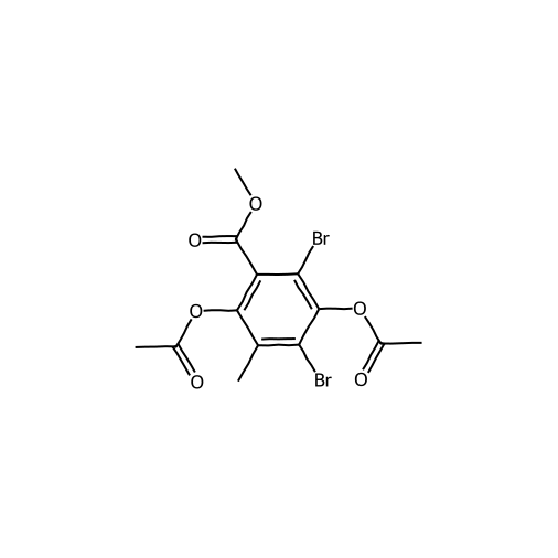 COC(=O)c1c(Br)c(OC(C)=O)c(Br)c(C)c1OC(C)=O